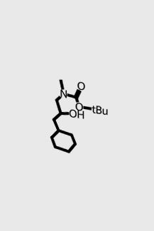 CN(CC(O)CC1CCCCC1)C(=O)OC(C)(C)C